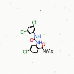 CNC(=O)c1ccc(Cl)cc1NC(=O)Nc1cc(Cl)cc(Cl)c1